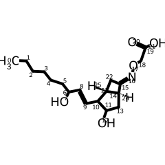 CCCCCCC(O)C=CC1C(O)C[C@@H]2C(=NOCC(=O)O)C[C@@H]12